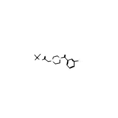 CC(C)(C)OC(=O)CN1CCN(C(=O)c2cccc(N)c2)CC1